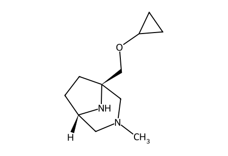 CN1C[C@@H]2CC[C@](COC3CC3)(C1)N2